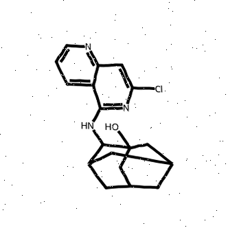 OC12CC3CC(CC(C3)C1Nc1nc(Cl)cc3ncccc13)C2